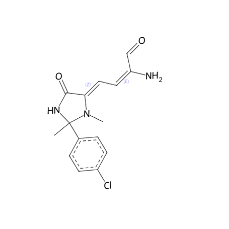 CN1/C(=C\C=C(\N)C=O)C(=O)NC1(C)c1ccc(Cl)cc1